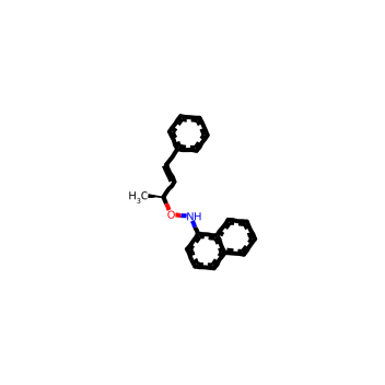 C[C@@H](/C=C/c1ccccc1)ONc1cccc2ccccc12